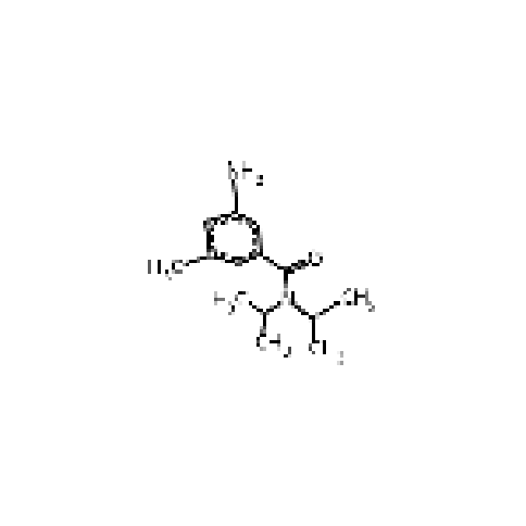 Cc1cc(N)cc(C(=O)N(C(C)C)C(C)C)c1